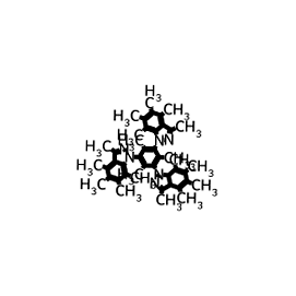 CC1=NN(c2c(C)c(-n3nc(C)c4c(C)c(C)c(C)c(C)c43)c(C)c(-n3nc(C)c4c(C)c(C)c(C)c(C)c43)c2C)C2C(C)=C(C)C(C)=C(C)C12